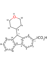 O=C(O)c1ccc2c(c1)C(C1CCOCC1)c1ccccc1-2